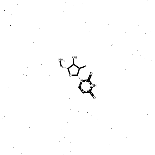 NC[C@H]1O[C@@H](n2ccc(=O)[nH]c2=O)C(F)C1O